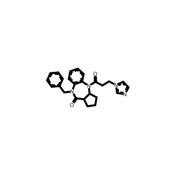 O=C1C2CCCC2N(C(=O)CCn2ccnc2)c2ccccc2N1Cc1ccccc1